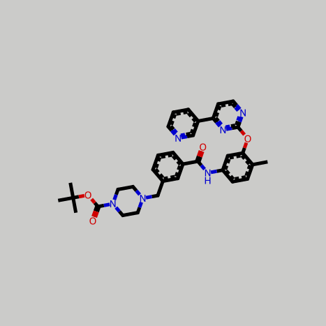 Cc1ccc(NC(=O)c2cccc(CN3CCN(C(=O)OC(C)(C)C)CC3)c2)cc1Oc1nccc(-c2cccnc2)n1